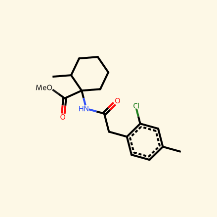 COC(=O)C1(NC(=O)Cc2ccc(C)cc2Cl)CCCCC1C